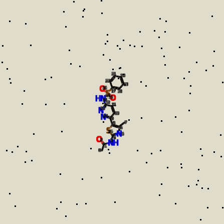 CC(=O)Nc1nc(C)c(-c2ccc(NS(=O)(=O)c3ccccc3)nn2)s1